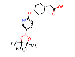 CC1(C)OB(c2ccc(O[C@H]3CC[C@@H](CC(=O)O)CC3)nc2)OC1(C)C